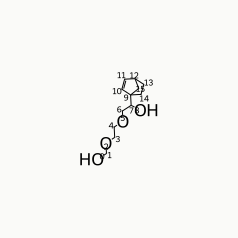 OCOCCOCC(O)C12C=CC(CC1)C2